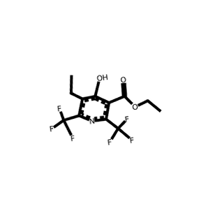 CCOC(=O)c1c(C(F)(F)F)nc(C(F)(F)F)c(CC)c1O